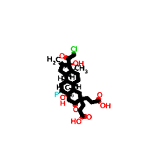 C=C1C[C@H]2[C@@H]3C[C@@H](F)[C@@]4(O)CC(=O)C(CCC(=O)O)(CCC(=O)O)C[C@]4(C)[C@H]3CC[C@]2(C)[C@@]1(O)C(=O)CCl